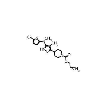 C=CCOC(=O)N1CCC(c2n[nH]c(N(C)c3ccc(Cl)s3)c2C)CC1